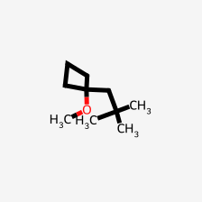 COC1(CC(C)(C)C)CCC1